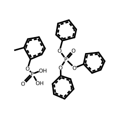 Cc1ccccc1OP(=O)(O)O.O=P(Oc1ccccc1)(Oc1ccccc1)Oc1ccccc1